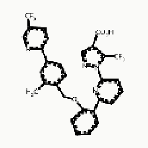 Cc1cc(-c2ccc(C(F)(F)F)cn2)ccc1COc1ccccc1-c1cccc(-n2ncc(C(=O)O)c2C(F)(F)F)n1